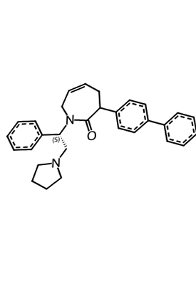 O=C1C(c2ccc(-c3ccccc3)cc2)CC=CCN1[C@H](CN1CCCC1)c1ccccc1